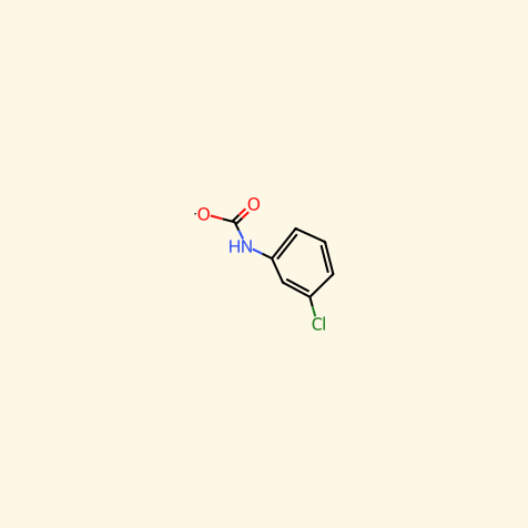 [O]C(=O)Nc1cccc(Cl)c1